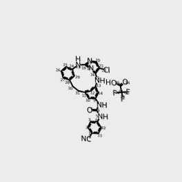 N#Cc1ccc(NC(=O)Nc2cc3cc(c2)Nc2nc(ncc2Cl)Nc2cccc(c2)CC3)cc1.O=C(O)C(F)(F)F